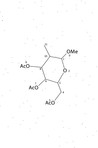 COC1OC(COC(C)=O)C(OC(C)=O)C(OC(C)=O)C1C